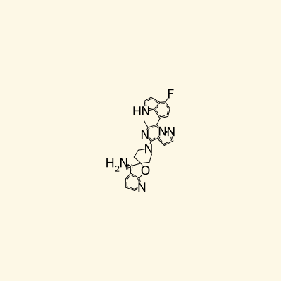 Cc1nc(N2CCC3(CC2)Oc2ncccc2[C@H]3N)c2ccnn2c1-c1ccc(F)c2cc[nH]c12